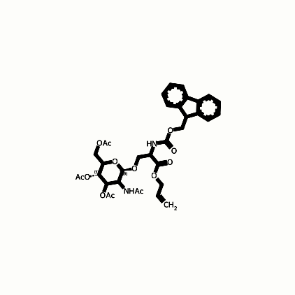 C=CCOC(=O)C(CO[C@@H]1OC(COC(C)=O)[C@@H](OC(C)=O)C(OC(C)=O)C1NC(C)=O)NC(=O)OCC1c2ccccc2-c2ccccc21